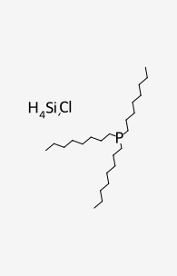 CCCCCCCCP(CCCCCCCC)CCCCCCCC.CCl.[SiH4]